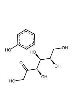 O=C(CO)[C@H](O)[C@@H](O)[C@H](O)CO.Oc1ccccc1